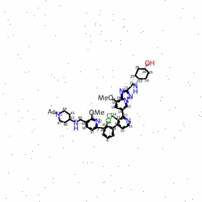 COc1nc(-c2cccc(-c3ccnc(-c4cc(OC)c5nc(CN[C@H]6CC[C@@H](O)CC6)nn5c4)c3Cl)c2Cl)ccc1CNC1CCN(C(C)=O)CC1